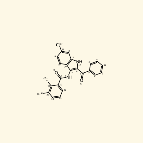 O=C(Nc1c(C(=O)c2ccccc2)[nH]c2cc(Cl)ccc12)c1cccc(F)c1F